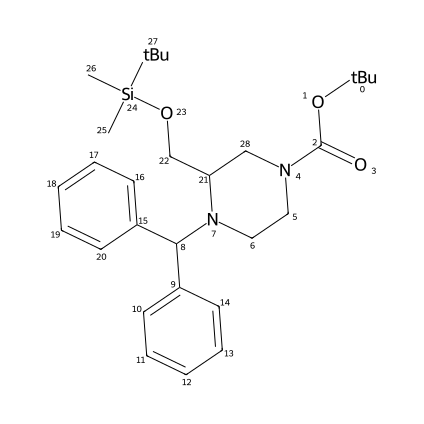 CC(C)(C)OC(=O)N1CCN(C(c2ccccc2)c2ccccc2)C(CO[Si](C)(C)C(C)(C)C)C1